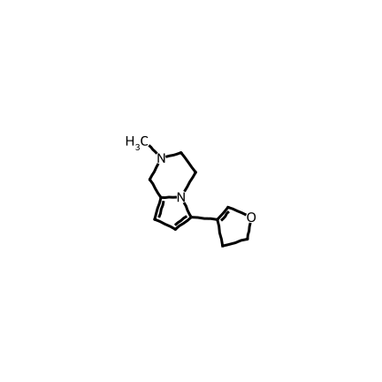 CN1CCn2c(ccc2C2=COCC2)C1